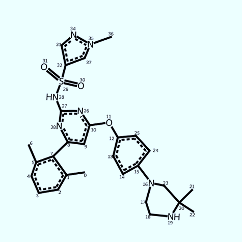 Cc1cccc(C)c1-c1cc(Oc2ccc(N3CCNC(C)(C)C3)cc2)nc(NS(=O)(=O)c2cnn(C)c2)n1